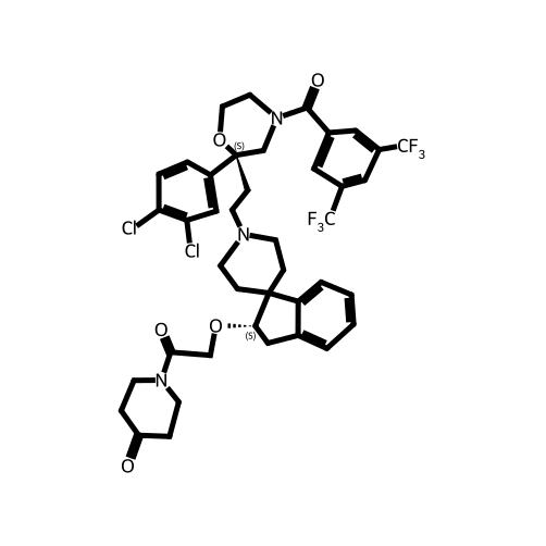 O=C1CCN(C(=O)CO[C@H]2Cc3ccccc3C23CCN(CC[C@]2(c4ccc(Cl)c(Cl)c4)CN(C(=O)c4cc(C(F)(F)F)cc(C(F)(F)F)c4)CCO2)CC3)CC1